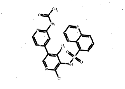 CC(=O)Nc1cc(-c2cnc(Cl)c(NS(=O)(=O)c3cccc4ncccc34)c2C)ccn1